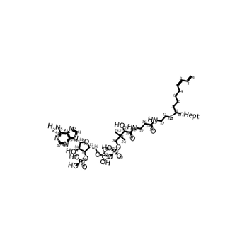 C=C/C=C\CCCCC(CCCCCCC)SCCNC(=O)CCNC(=O)[C@H](O)C(C)(C)COP(=O)(O)OP(=O)(O)OC[C@H]1O[C@@H](n2cnc3c(N)ncnc32)[C@H](O)[C@@H]1OP(=O)(O)O